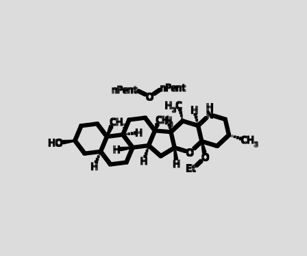 CCCCCOCCCCC.CCO[C@]12C[C@@H](C)CN[C@@H]1[C@@H](C)[C@H]1[C@@H](C[C@H]3[C@@H]4CC[C@H]5C[C@@H](O)CC[C@]5(C)[C@H]4CC[C@]13C)O2